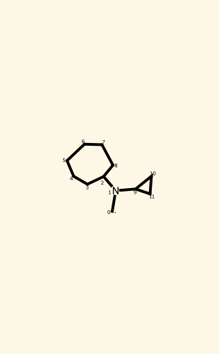 [CH2]N(C1CCCCCC1)C1CC1